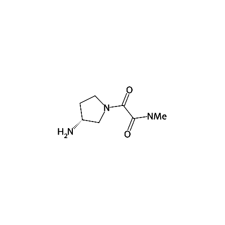 CNC(=O)C(=O)N1CC[C@@H](N)C1